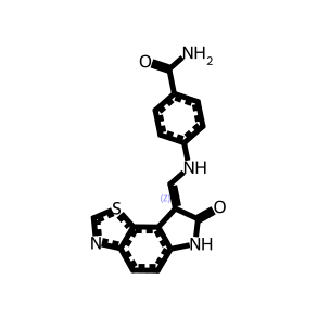 NC(=O)c1ccc(N/C=C2\C(=O)Nc3ccc4ncsc4c32)cc1